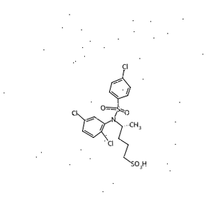 C[C@H](CCCS(=O)(=O)O)N(c1cc(Cl)ccc1Cl)S(=O)(=O)c1ccc(Cl)cc1